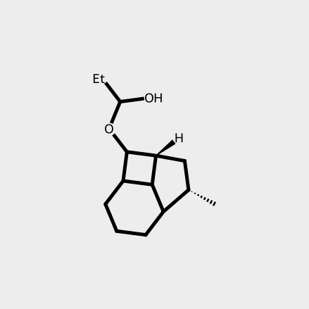 CCC(O)OC1C2CCCC3C2[C@H]1C[C@@H]3C